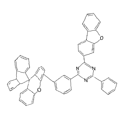 C1=CC2c3ccccc3C3(c4ccccc4Oc4c(-c5cccc(-c6nc(-c7ccccc7)nc(-c7ccc8c(c7)oc7ccccc78)n6)c5)cccc43)C2C=C1